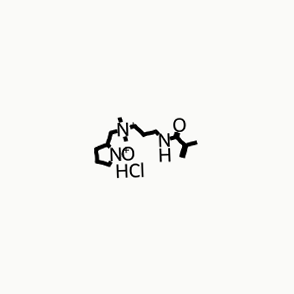 C=C(C)C(=O)NCCC[N+](C)(C)CC1CCC[N+]1=O.Cl